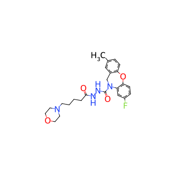 Cc1ccc2c(c1)CN(C(=O)NNC(=O)CCCCN1CCOCC1)c1cc(F)ccc1O2